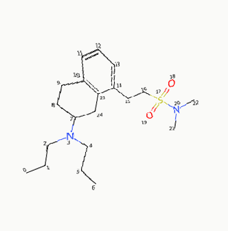 CCCN(CCC)C1CCc2cccc(CCS(=O)(=O)N(C)C)c2C1